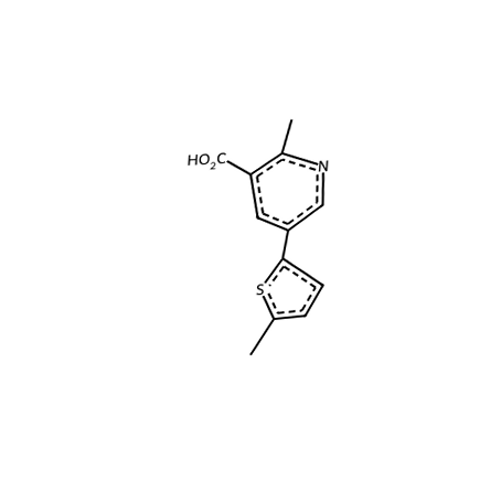 Cc1ccc(-c2cnc(C)c(C(=O)O)c2)s1